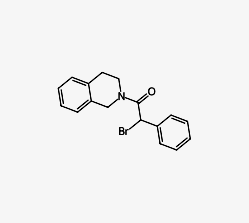 O=C(C(Br)c1ccccc1)N1CCc2ccccc2C1